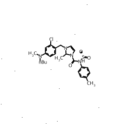 CCCCN(C)c1ccc(CN2C=CN(C(=O)N(c3ccc(C)cc3)[SH](=O)=O)C2C)c(Cl)c1